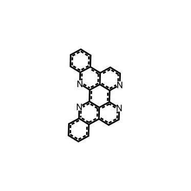 c1ccc2c(c1)nc1c3nc4ccccc4c4ccnc(c5nccc2c51)c43